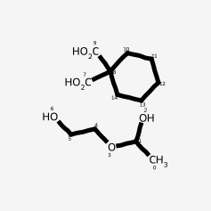 CC(O)OCCO.O=C(O)C1(C(=O)O)CCCCC1